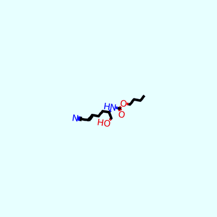 CCCCOC(=O)NC(CO)CCC=CC#N